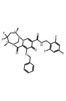 C[C@@H]1CC(F)(F)[C@H](C)N2CN1n1cc(C(=O)NCc3c(F)cc(F)cc3F)c(=O)c(OCc3ccccc3)c1C2=O